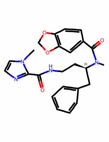 CN(C(=O)c1ccc2c(c1)OCO2)[C@H](CCNC(=O)c1nccn1C)Cc1ccccc1